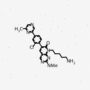 CNc1ncc2cc(-c3ccc(-c4cncc(C)n4)cc3Cl)c(=O)n(CCCCCN)c2n1